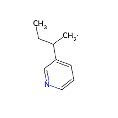 [CH2]C(CC)c1cccnc1